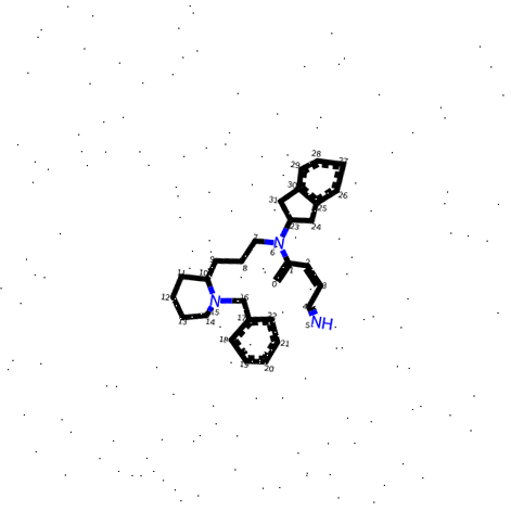 C=C(/C=C\C=N)N(CCCC1CCCCN1Cc1ccccc1)C1Cc2ccccc2C1